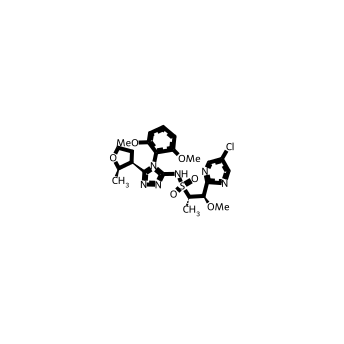 COc1cccc(OC)c1-n1c(NS(=O)(=O)[C@@H](C)[C@H](OC)c2ncc(Cl)cn2)nnc1[C@@H]1CCO[C@@H]1C